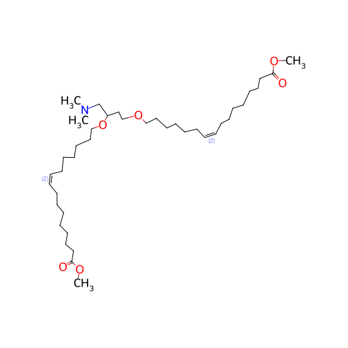 COC(=O)CCCCCCC/C=C\CCCCCCOCCC(CN(C)C)OCCCCCC/C=C\CCCCCCCC(=O)OC